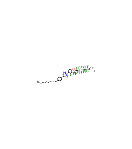 Fc1c(-c2ncc(-c3ccc(CCCCCCCCCC4CC4)cc3)cn2)ccc2c1C(F)(F)C(C(F)(F)C(F)(F)C(F)(F)C(F)(F)C(F)(F)C(F)(F)C(F)(F)F)O2